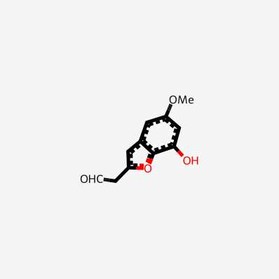 COc1cc(O)c2oc(CC=O)cc2c1